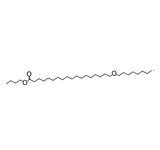 [CH2]CCCCCCCOCCCCCCCCCCCCCCCCCC(=O)OCCCC